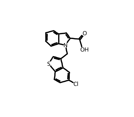 O=C(O)c1cc2ccccc2n1Cc1csc2ccc(Cl)cc12